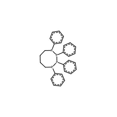 c1ccc(P2CCCCP(c3ccccc3)P(c3ccccc3)P2c2ccccc2)cc1